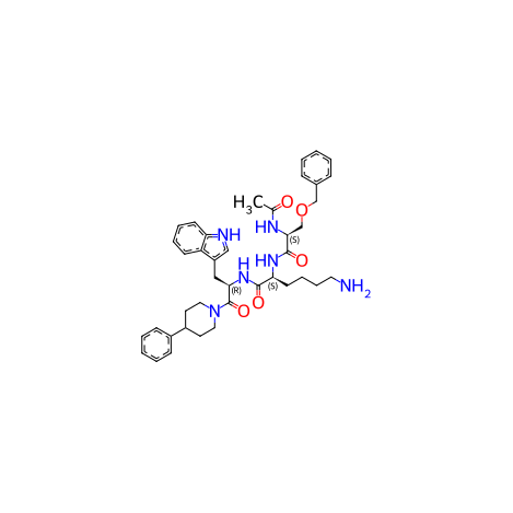 CC(=O)N[C@@H](COCc1ccccc1)C(=O)N[C@@H](CCCCN)C(=O)N[C@H](Cc1c[nH]c2ccccc12)C(=O)N1CCC(c2ccccc2)CC1